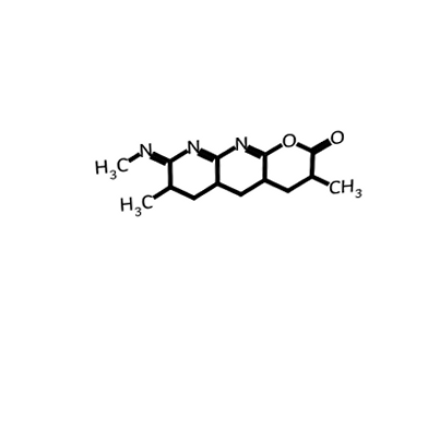 C/N=C1/N=C2N=C3OC(=O)C(C)CC3CC2CC1C